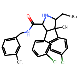 CC(C)(C)CC1NC(C(=O)NCc2cccc(C(F)(F)F)c2)C(c2cccc(Cl)c2)C1(C#N)c1ccc(Cl)cc1